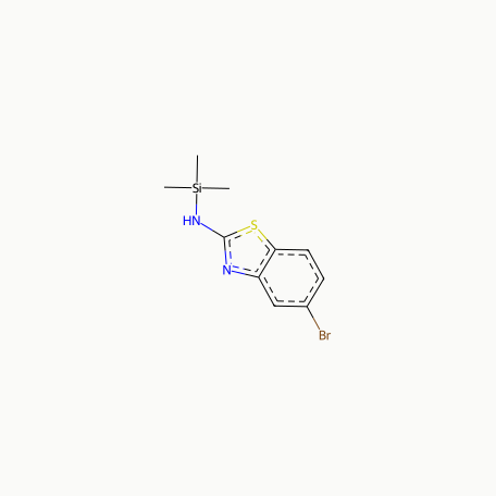 C[Si](C)(C)Nc1nc2cc(Br)ccc2s1